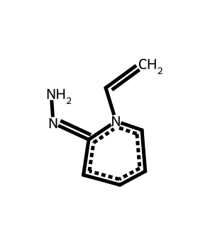 C=Cn1cccc/c1=N/N